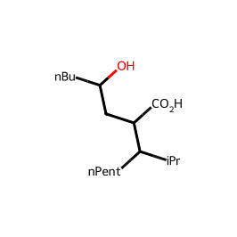 CCCCCC(C(C)C)C(CC(O)CCCC)C(=O)O